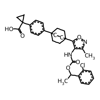 Cc1noc(C23CCC(c4ccc(C5(C(=O)O)CC5)cc4)(CC2)CC3)c1NC(=O)OC(C)c1ccccc1Cl